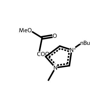 CCCC[n+]1ccn(C)c1.COC(=O)C(=O)[O-]